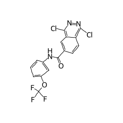 O=C(Nc1cccc(OC(F)(F)F)c1)c1ccc2c(Cl)nnc(Cl)c2c1